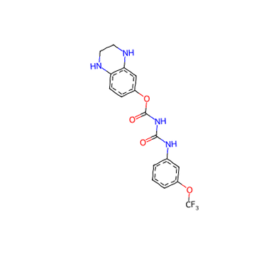 O=C(NC(=O)Oc1ccc2c(c1)NCCN2)Nc1cccc(OC(F)(F)F)c1